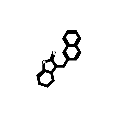 O=C1OC2=CCCCC2C1Cc1ccc2ccccc2c1